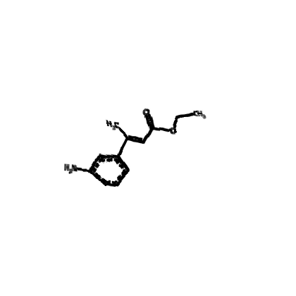 CCOC(=O)/C=C(\C)c1cccc(N)c1